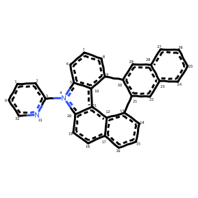 c1ccc(-n2c3cccc4c3c3c5c(cccc5ccc32)-c2cc3ccccc3cc2-4)nc1